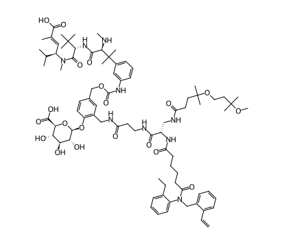 C=Cc1ccccc1CN(C(=O)CCCCC(=O)N[C@@H](CNC(=O)CCC(C)(C)OCCC(C)(C)OC)C(=O)NCCC(=O)NCc1cc(COC(=O)Nc2cccc(C(C)(C)[C@H](NC)C(=O)N[C@H](C(=O)N(C)[C@H](/C=C(\C)C(=O)O)C(C)C)C(C)(C)C)c2)ccc1O[C@@H]1O[C@H](C(=O)O)[C@@H](O)[C@H](O)[C@H]1O)c1ccccc1CC